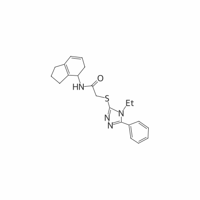 CCn1c(SCC(=O)NC2CC=CC3=C2CCC3)nnc1-c1ccccc1